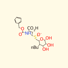 CCCCC1C(C[S+]([O-])CCC(NC(=O)OCc2ccccc2)C(=O)O)OC(O)C(O)C1O